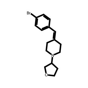 Brc1ccc(C=C2CCN(C3CCOC3)CC2)cc1